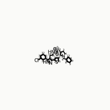 CN([C@@H]1CCN(Cc2ccccc2)C1)S(=O)(=O)NCCc1c(-c2cccs2)n[nH]c1-c1cccc(Cl)c1